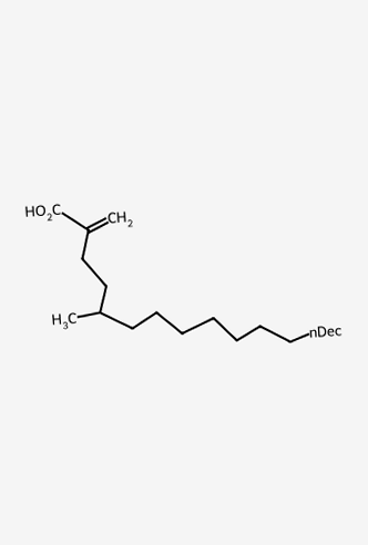 C=C(CCC(C)CCCCCCCCCCCCCCCCC)C(=O)O